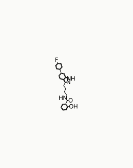 O=C(NCCCCc1n[nH]c2cc(-c3ccc(F)cc3)ccc12)c1ccccc1O